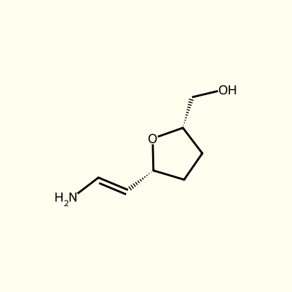 N/C=C/[C@H]1CC[C@@H](CO)O1